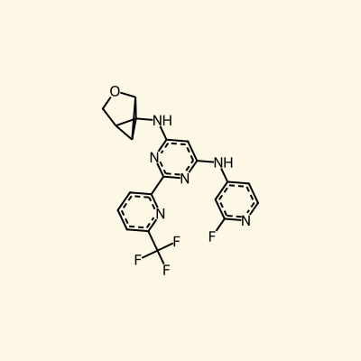 Fc1cc(Nc2cc(NC34C5COC3C54)nc(-c3cccc(C(F)(F)F)n3)n2)ccn1